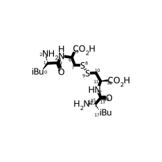 CC[C@H](C)[C@H](N)C(=O)NC(CSSC[C@H](NC(=O)[C@@H](N)[C@@H](C)CC)C(=O)O)C(=O)O